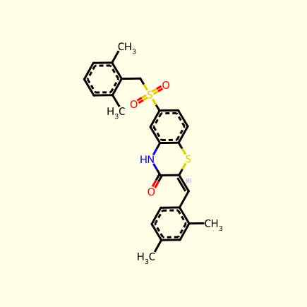 Cc1ccc(/C=C2/Sc3ccc(S(=O)(=O)Cc4c(C)cccc4C)cc3NC2=O)c(C)c1